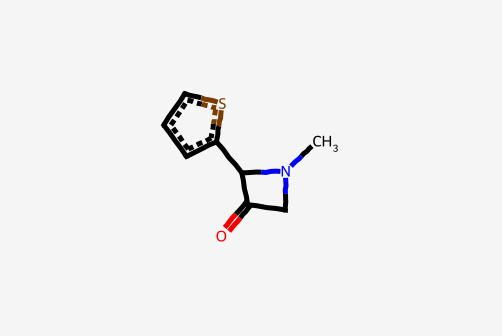 CN1CC(=O)C1c1cccs1